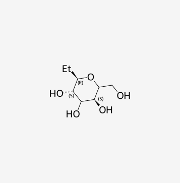 CC[C@H]1OC(CO)[C@@H](O)C(O)[C@@H]1O